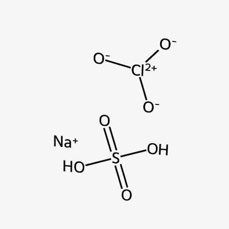 O=S(=O)(O)O.[Na+].[O-][Cl+2]([O-])[O-]